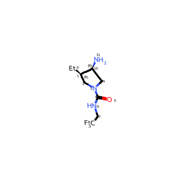 CC[C@@H]1CN(C(=O)NCC(F)(F)F)C[C@@H]1N